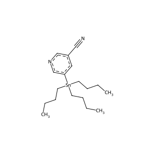 CCC[CH2][Sn]([CH2]CCC)([CH2]CCC)[c]1cncc(C#N)c1